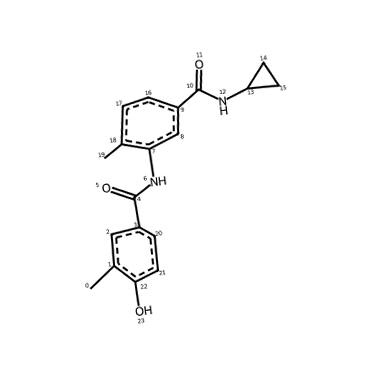 Cc1cc(C(=O)Nc2cc(C(=O)NC3CC3)ccc2C)ccc1O